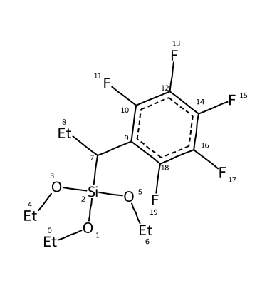 CCO[Si](OCC)(OCC)C(CC)c1c(F)c(F)c(F)c(F)c1F